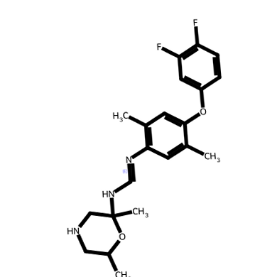 Cc1cc(Oc2ccc(F)c(F)c2)c(C)cc1/N=C/NC1(C)CNCC(C)O1